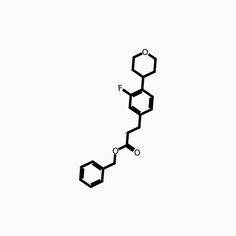 O=C([CH]Cc1ccc(C2CCOCC2)c(F)c1)OCc1ccccc1